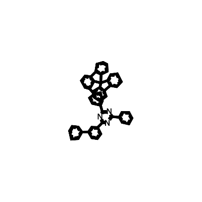 c1ccc(-c2cccc(-c3nc(-c4ccccc4)nc(-c4ccc(-c5cccc6c5C5(c7ccccc7-c7ccccc75)c5ccccc5-6)cc4)n3)c2)cc1